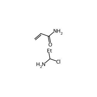 C=CC(N)=O.CCC(N)Cl